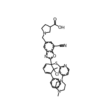 CN1CCN(c2ccnc(SC3(c4nc5cc(CN6CCC(C(=O)O)C6)cc(C#N)c5o4)C=CC=C(c4ccccc4)C3(C)Cl)c2)CC1